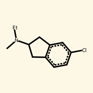 CCN(C)C1Cc2ccc(Cl)cc2C1